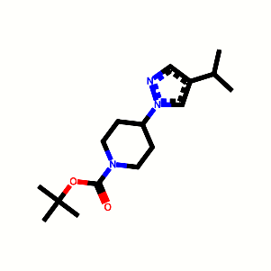 CC(C)c1cnn(C2CCN(C(=O)OC(C)(C)C)CC2)c1